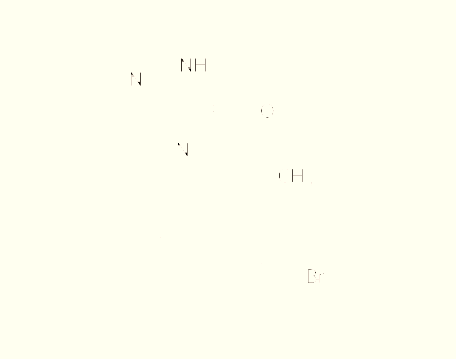 Cc1c(Br)cccc1-n1cn[nH]c1=O